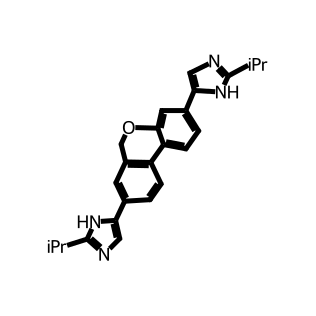 CC(C)c1ncc(-c2ccc3c(c2)COc2cc(-c4cnc(C(C)C)[nH]4)ccc2-3)[nH]1